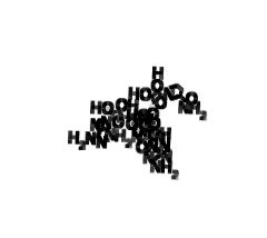 NC(=O)C1=CN([C@@H]2O[C@H](COP(=O)(O)OP(=O)(O)OC[C@H]3O[C@@H](n4cnc5c(N)ncnc54)[C@H](O)[C@@H]3O)[C@@H](O)[C@H]2O)C=CC1.NC(=O)c1cccnc1.Nc1ncnc2[nH]cnc12